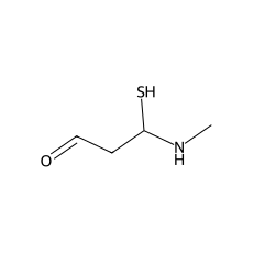 CNC(S)CC=O